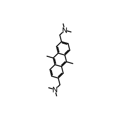 Cc1c2ccc(CN(C)C)cc2c(C)c2ccc(CN(C)C)cc12